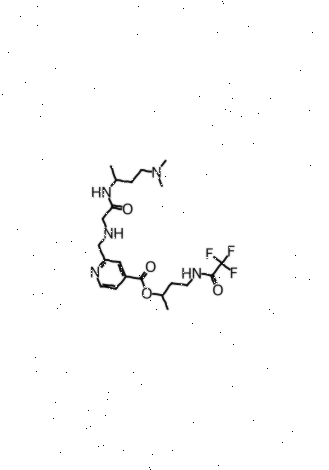 CC(CCN(C)C)NC(=O)CNCc1cc(C(=O)OC(C)CCNC(=O)C(F)(F)F)ccn1